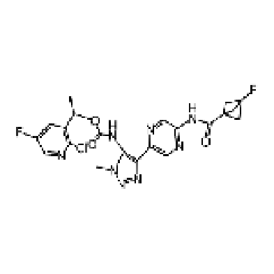 C[C@@H](OC(=O)Nc1c(-c2cnc(NC(=O)C34CC(F)(C3)C4)cn2)nnn1C)c1cc(F)cnc1Cl